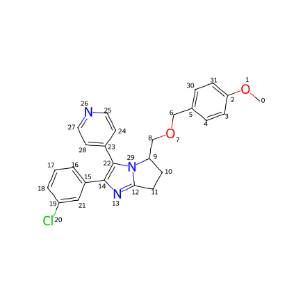 COc1ccc(COCC2CCc3nc(-c4cccc(Cl)c4)c(-c4ccncc4)n32)cc1